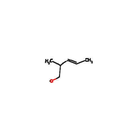 CC=CC(C)C[O]